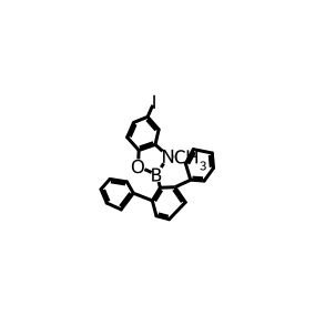 CN1B(c2c(-c3ccccc3)cccc2-c2ccccc2)Oc2ccc(I)cc21